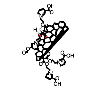 CC(C(=O)OCC[n+]1cccc(OC=O)c1)(C(=O)OCC[n+]1cccc(C(=O)O)c1)C12CCc3cc4cc5c6c7c8c9c%10c%11c%12c(cc%13ccc1c1c%14c%15c%16c(c3C%152)c4c6c8c%16c%10c%14c%12c%131)C=C1CC2CC7(C=C5)C23C(C(=O)OCC[n+]2cccc(C(=O)O)c2)(C(=O)OCC[n+]2cccc(C(=O)O)c2)C93C1%11